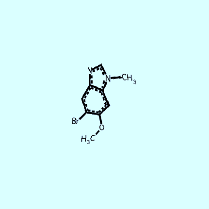 COc1cc2c(cc1Br)ncn2C